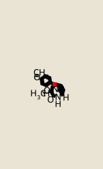 COc1ccc(CN2C(=O)[C@@H]3C/C=C\C[C@H]2C(=O)N3)c(OC)c1